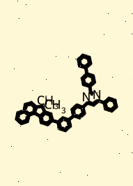 CC1(C)c2cc(-c3cccc(-c4ccc(-c5cc(-c6ccccc6)nc(-c6ccc(-c7ccccc7)cc6)n5)cc4)c3)ccc2-c2c1ccc1ccccc21